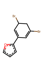 BrC1=CC(c2ccco2)=CC(Br)C1